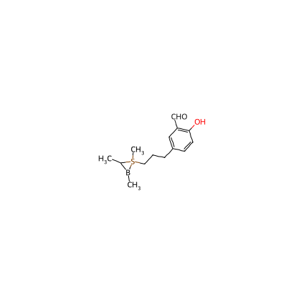 CB1C(C)S1(C)CCCc1ccc(O)c(C=O)c1